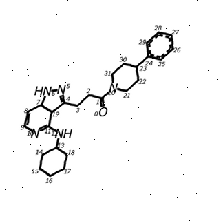 O=C(CCC1=NNC2C=CN=C(NC3CCCCC3)C12)N1CCC(c2ccccc2)CC1